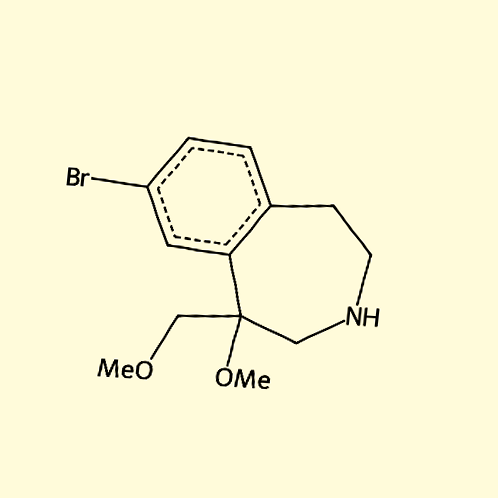 COCC1(OC)CNCCc2ccc(Br)cc21